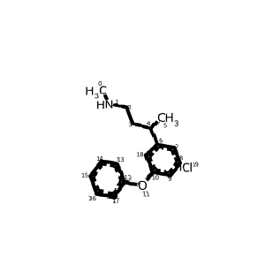 CNCCC(C)c1cccc(Oc2ccccc2)c1.Cl